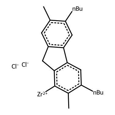 CCCCc1cc2c(cc1C)Cc1c-2cc(CCCC)c(C)[c]1[Zr+2].[Cl-].[Cl-]